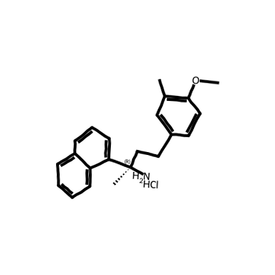 COc1ccc(CC[C@@](C)(N)c2cccc3ccccc23)cc1C.Cl